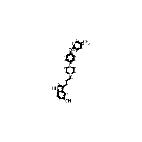 N#Cc1ccc2[nH]cc(CCCN3CCN(c4ccc(Oc5ccc(C(F)(F)F)cn5)cc4)CC3)c2c1